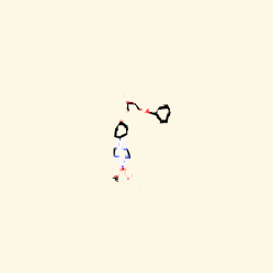 CC(O)(CCOCc1ccccc1)COc1ccc(N2CCN(C(=O)OC(C)(C)C)CC2)cc1